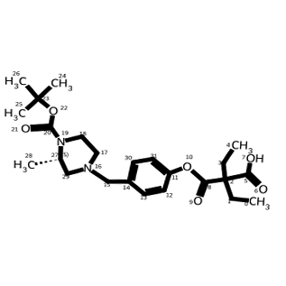 CCC(CC)(C(=O)O)C(=O)Oc1ccc(CN2CCN(C(=O)OC(C)(C)C)[C@@H](C)C2)cc1